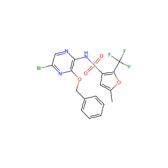 Cc1cc(S(=O)(=O)Nc2ncc(Br)nc2OCc2ccccc2)c(C(F)(F)F)o1